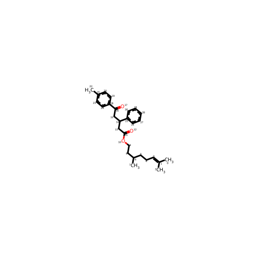 CC(C)=CCCC(C)CCOC(=O)CC(CC(=O)c1ccc(C)cc1)c1ccccc1